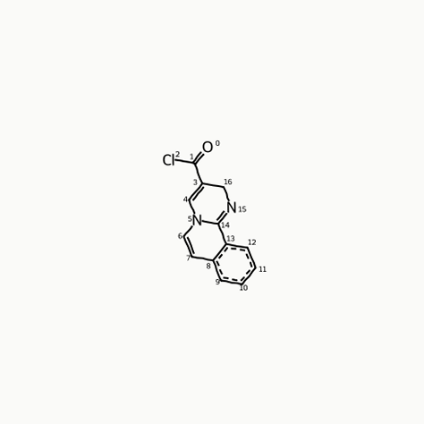 O=C(Cl)C1=CN2C=Cc3ccccc3C2=NC1